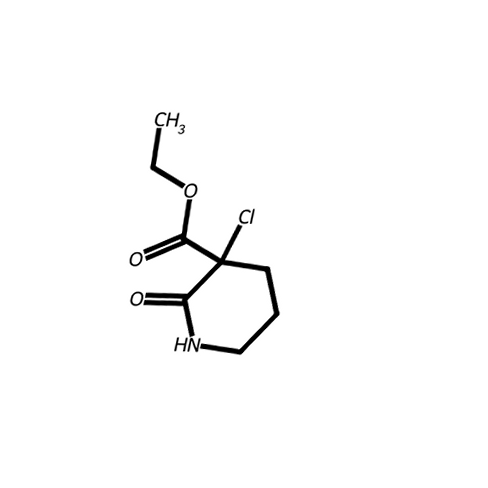 CCOC(=O)C1(Cl)CCCNC1=O